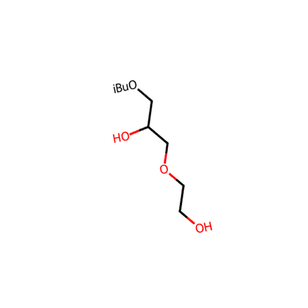 CC(C)COCC(O)COCCO